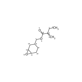 C=C(CC)C(=O)OCC1CCC2OC2C1